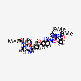 COCC1C[C@@H](c2nc3ccc4cc5c(cc4c3[nH]2)OCc2cc(-c3cnc([C@@H]4C[C@H](C)CN4C(=O)[C@@H](NC(=O)OC)C(C)C)[nH]3)ccc2-5)N(C(=O)[C@H](NC(=O)OC)c2ccccc2)C1